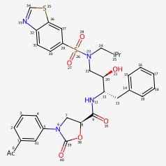 CC(=O)c1cccc(N2C[C@@H](C(=O)N[C@@H](Cc3ccccc3)[C@H](O)CN(CC(C)C)S(=O)(=O)c3ccc4ncsc4c3)OC2=O)c1